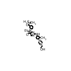 CCn1c(=O)c2cnc(Nc3ccc(N4CCN(CCO)CC4)c(C)c3)nc2n1-c1cccc(C(=O)N(C)C)c1